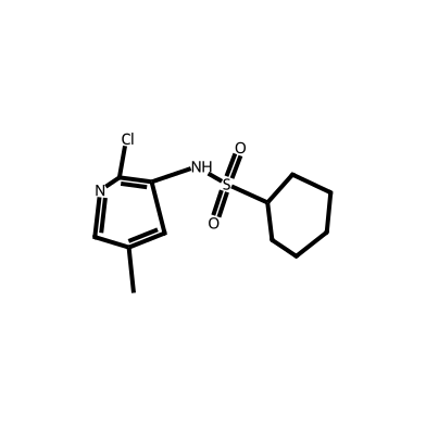 Cc1cnc(Cl)c(NS(=O)(=O)C2CCCCC2)c1